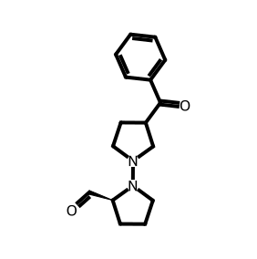 O=C[C@@H]1CCCN1N1CCC(C(=O)c2ccccc2)C1